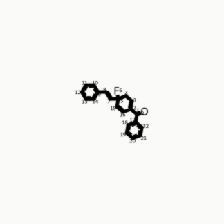 O=C(C1=CCC(F)(C=Cc2ccccc2)C=C1)c1ccccc1